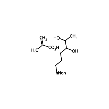 C=C(C)C(=O)O.CCCCCCCCCCCCC(O)C(C)O